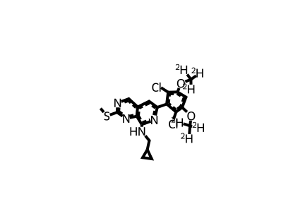 [2H]C([2H])([2H])Oc1cc(OC([2H])([2H])[2H])c(Cl)c(-c2cc3cnc(SC)nc3c(NCC3CC3)n2)c1Cl